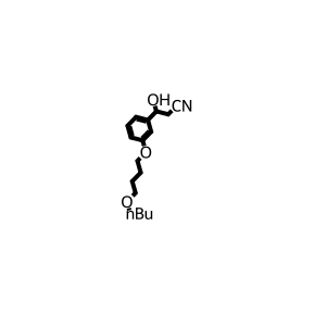 CCCCOCCCCOc1cccc(C(O)CC#N)c1